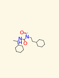 CC(NC(=O)N([C]=O)CCC1CCCCC1)C1CCCCC1